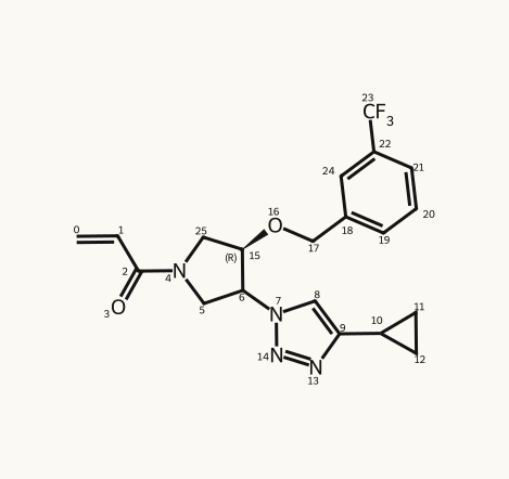 C=CC(=O)N1CC(n2cc(C3CC3)nn2)[C@H](OCc2cccc(C(F)(F)F)c2)C1